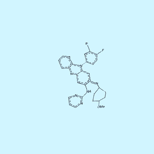 COC1CCC(N=c2cc3n(-c4ccc(F)c(F)c4)c4ccccc4nc-3cc2Nc2ncccn2)CC1